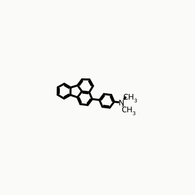 CN(C)c1ccc(-c2ccc3c4c(cccc24)-c2ccccc2-3)cc1